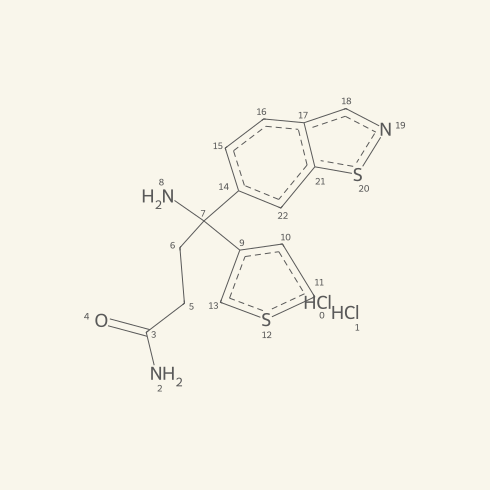 Cl.Cl.NC(=O)CCC(N)(c1ccsc1)c1ccc2cnsc2c1